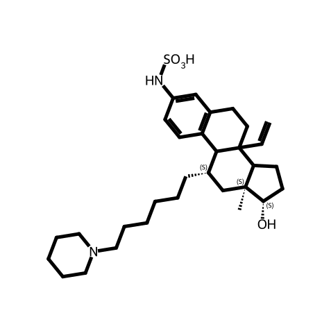 C=CC12CCc3cc(NS(=O)(=O)O)ccc3C1[C@@H](CCCCCCN1CCCCC1)C[C@@]1(C)C2CC[C@@H]1O